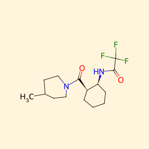 CC1CCN(C(=O)[C@@H]2CCCC[C@@H]2NC(=O)C(F)(F)F)CC1